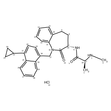 CN[C@@H](C)C(=O)N[C@H]1CCc2ccccc2N(Cc2ccc(C3CC3)c3ccccc23)C1=O.Cl